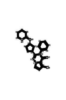 O=c1c2c(Cl)ccn2nc([C@H]2CC[C@H](OC3CCCCO3)C2)n1-c1ccccc1